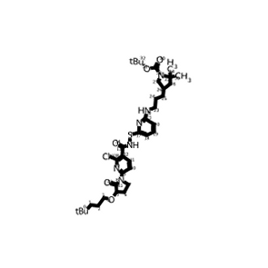 CC(C)(C)CCCOC1CCN(c2ccc(C(=O)NSc3cccc(NCCCC4CN(C(=O)OC(C)(C)C)C(C)(C)C4)n3)c(Cl)n2)C1=O